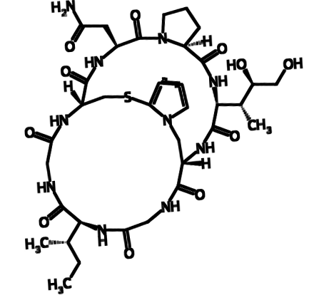 CC[C@H](C)[C@@H]1NC(=O)CNC(=O)[C@@H]2Cn3cc4ccccc4c3SC[C@H](NC(=O)CNC1=O)C(=O)N[C@@H](CC(N)=O)C(=O)N1CCC[C@H]1C(=O)N[C@@H]([C@@H](C)[C@@H](O)CO)C(=O)N2